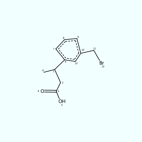 CC(CC(=O)O)c1cccc(CBr)c1